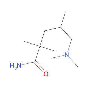 CC(CN(C)C)CC(C)(C)C(N)=O